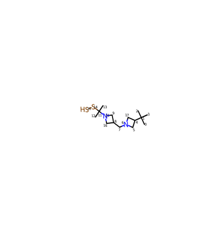 CC(C)(C)C1CN(CC2CN(C(C)(C)SS)C2)C1